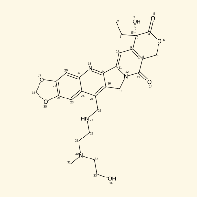 CC[C@@]1(O)C(=O)OCc2c1cc1n(c2=O)Cc2c-1nc1cc3c(cc1c2CNCCN(C)CCO)OCO3